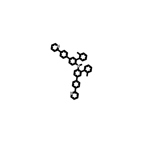 Cc1ccccc1-c1cc(-c2ccc(-c3ccccn3)cc2)ccc1N(C)c1ccc(-c2ccc(-c3ccccn3)cc2)cc1-c1ccccc1C